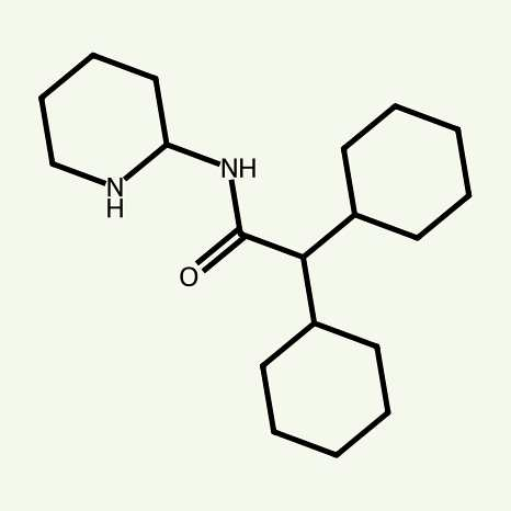 O=C(NC1CCCCN1)C(C1CCCCC1)C1CCCCC1